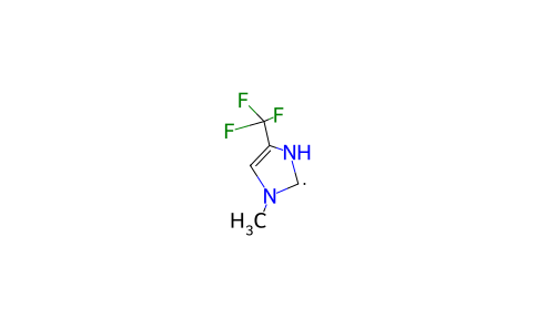 CN1[CH]NC(C(F)(F)F)=C1